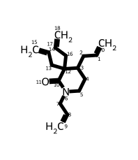 C=CCC1CCN(CC=C)C(=O)C1(CC=C)CC=C